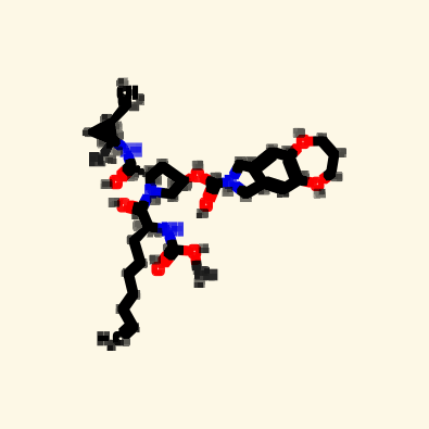 C=CCCCCC[C@H](NC(=O)OC(C)(C)C)C(=O)N1C[C@H](OC(=O)N2Cc3cc4c(cc3C2)OCCCO4)C[C@H]1C(=O)N[C@]1(CC)C[C@H]1C=C